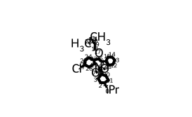 CC(C)c1ccc(S(=O)(=O)n2c(-c3ccccc3)c(OCCN(C)C)c3ccc(Cl)cc32)cc1